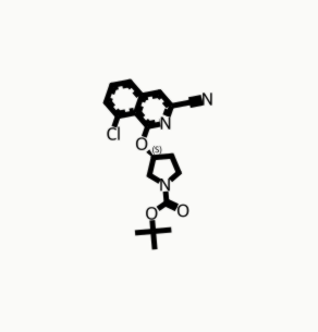 CC(C)(C)OC(=O)N1CC[C@H](Oc2nc(C#N)cc3cccc(Cl)c23)C1